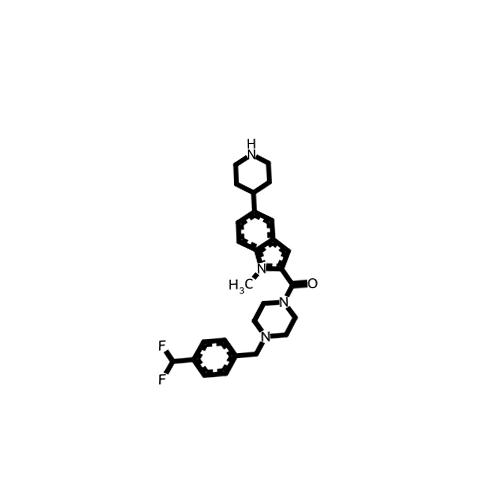 Cn1c(C(=O)N2CCN(Cc3ccc(C(F)F)cc3)CC2)cc2cc(C3CCNCC3)ccc21